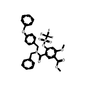 COC(=O)c1cc(C(=O)N(Cc2ccccc2)Cc2ccc(Oc3ccccc3)cc2)c(OS(=O)(=O)C(F)(F)F)cc1OC